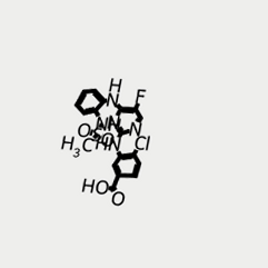 CS(=O)(=O)Nc1ccccc1Nc1nc(Nc2cc(C(=O)O)ccc2Cl)ncc1F